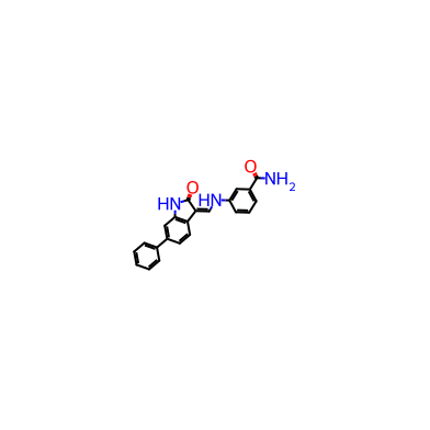 NC(=O)c1cccc(N/C=C2\C(=O)Nc3cc(-c4ccccc4)ccc32)c1